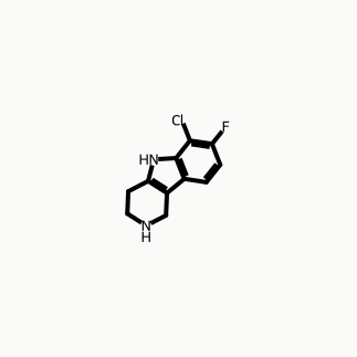 Fc1ccc2c3c([nH]c2c1Cl)CCNC3